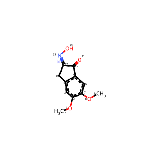 COc1cc2c(cc1OC)C(=O)/C(=N\O)C2